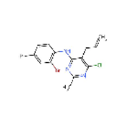 C=CCc1c(Cl)nc(C)nc1Nc1ccc(C(C)C)cc1Br